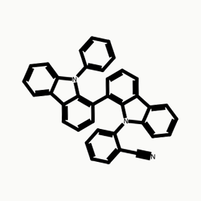 N#Cc1ccccc1-n1c2ccccc2c2cccc(-c3cccc4c5ccccc5n(-c5ccccc5)c34)c21